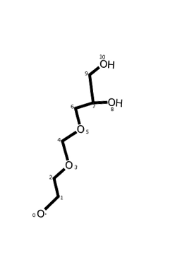 [O]CCOCOCC(O)CO